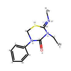 CC(C)CN1C(=O)N(c2ccccc2)CS/C1=N\C(C)C